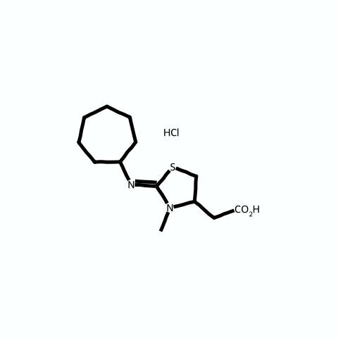 CN1/C(=N/C2CCCCCC2)SCC1CC(=O)O.Cl